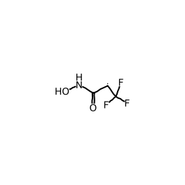 O=C([CH]C(F)(F)F)NO